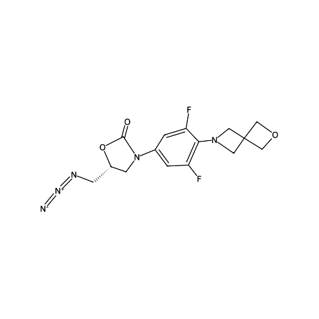 [N-]=[N+]=NC[C@H]1CN(c2cc(F)c(N3CC4(COC4)C3)c(F)c2)C(=O)O1